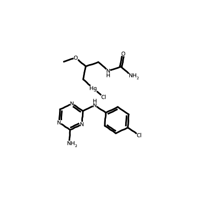 COC(CNC(N)=O)[CH2][Hg][Cl].Nc1ncnc(Nc2ccc(Cl)cc2)n1